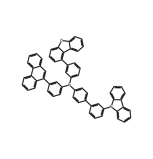 c1cc(-c2cc3ccccc3c3ccccc23)cc(N(c2ccc(-c3cccc(-n4c5ccccc5c5ccccc54)c3)cc2)c2cccc(-c3cccc4oc5ccccc5c34)c2)c1